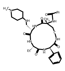 CC[C@@H]1NC(=O)[C@H](CNC2CCN(C)CC2)NC(=O)[C@](C)(NC(=O)C(C)C)CCNC(=O)[C@@H](c2ccccc2)NC1=O